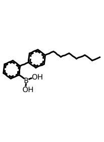 CCCCCCCc1ccc(-c2ccccc2B(O)O)cc1